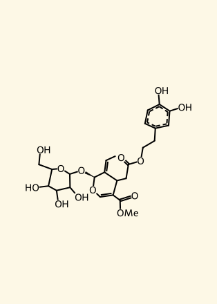 C/C=C1\C(CC(=O)OCCc2ccc(O)c(O)c2)C(C(=O)OC)=CO[C@H]1OC1OC(CO)C(O)C(O)C1O